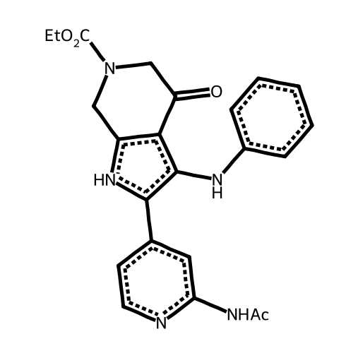 CCOC(=O)N1CC(=O)c2c([nH]c(-c3ccnc(NC(C)=O)c3)c2Nc2ccccc2)C1